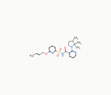 C/C=C/COc1cccc(S(=O)(=O)NC(=O)c2cccnc2N2CCC(C)C2(C)C)n1